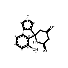 O=C1CC(=O)NC(c2ccsc2)(c2ccccc2O)C1